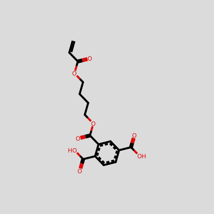 C=CC(=O)OCCCCOC(=O)c1cc(C(=O)O)ccc1C(=O)O